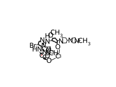 COc1cc(N2CCC(N3CCN(C)CC3)CC2)c2cc1Nc1ncc(Br)c(n1)Nc1ccc(cc1N(C)S(C)(=O)=O)OCCCCCO2